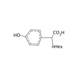 CCCCCCC(C(=O)O)c1ccc(O)cc1